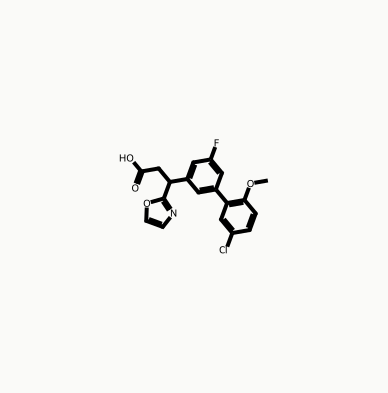 COc1ccc(Cl)cc1-c1cc(F)cc(C(CC(=O)O)c2ncco2)c1